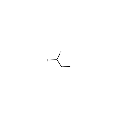 C[CH]C(F)F